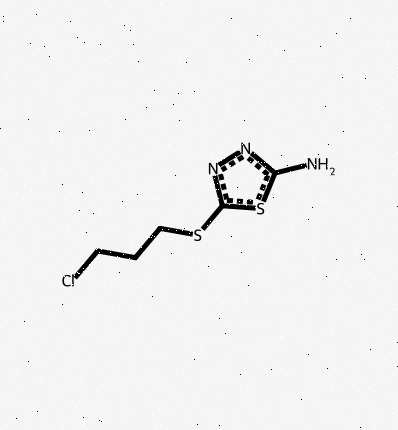 Nc1nnc(SCCCCl)s1